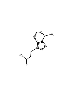 CCC(O)CCn1cnc2c(N)ncnc21